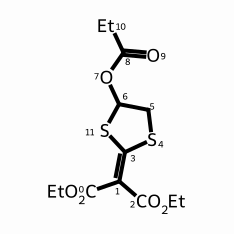 CCOC(=O)C(C(=O)OCC)=C1SCC(OC(=O)CC)S1